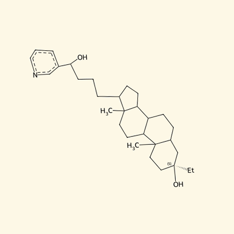 CC[C@]1(O)CCC2(C)C(CCC3C4CCC(CCCC(O)c5cccnc5)C4(C)CCC32)C1